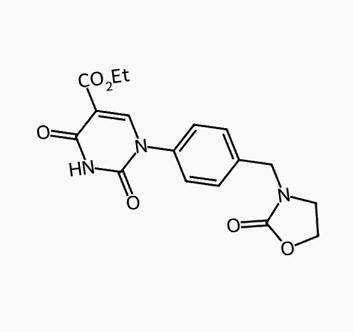 CCOC(=O)c1cn(-c2ccc(CN3CCOC3=O)cc2)c(=O)[nH]c1=O